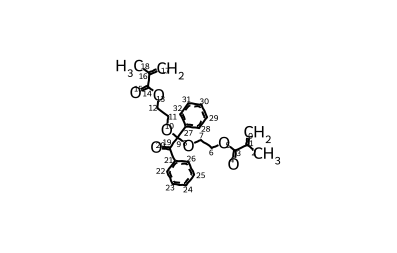 C=C(C)C(=O)OCCOC(OCCOC(=O)C(=C)C)(C(=O)c1ccccc1)c1ccccc1